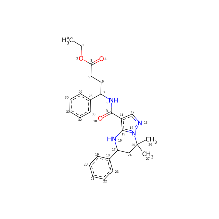 CCOC(=O)CCC(NC(=O)c1cnn2c1NC(c1ccccc1)CC2(C)C)c1ccccc1